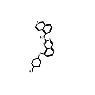 OC1CCC(Oc2cccc3cnc(Nc4cccc5cnccc45)nc23)CC1